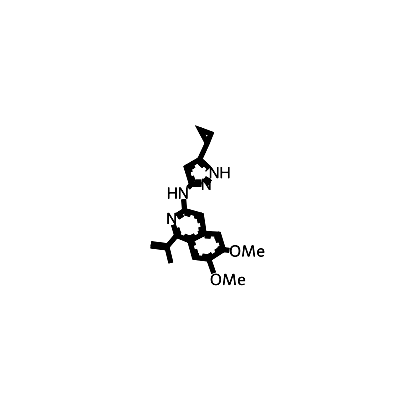 C=C(C)c1nc(Nc2cc(C3CC3)[nH]n2)cc2cc(OC)c(OC)cc12